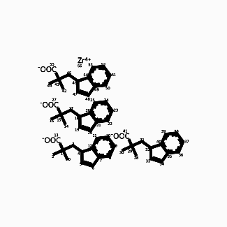 CC(C)(CC1C=Cc2ccccc21)C(=O)[O-].CC(C)(CC1C=Cc2ccccc21)C(=O)[O-].CC(C)(CC1C=Cc2ccccc21)C(=O)[O-].CC(C)(CC1C=Cc2ccccc21)C(=O)[O-].[Zr+4]